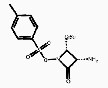 Cc1ccc(S(=O)(=O)ON2C(=O)[C@@H](N)[C@H]2OCC(C)C)cc1